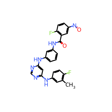 Cc1cc(Nc2cc(Nc3cccc(NC(=O)c4cc(N=O)ccc4F)c3)ncn2)ccc1F